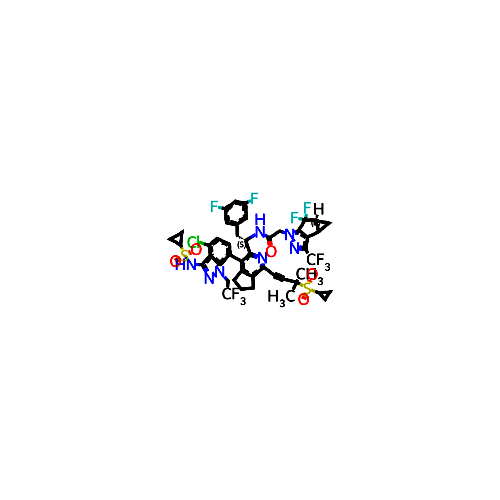 CC(C)(C#Cc1nc([C@H](Cc2cc(F)cc(F)c2)NC(=O)Cn2nc(C(F)(F)F)c3c2C(F)(F)[C@@H]2CC32)c(-c2ccc(Cl)c3c(NS(=O)(=O)C4CC4)nn(CC(F)(F)F)c23)c2c1CCC2)S(=O)(=O)C1CC1